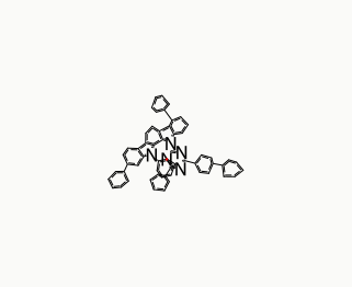 c1ccc(-c2ccc(-c3nc(-c4ccccc4)nc(-n4c5cccc(-c6ccccc6)c5c5ccc6c7ccc(-c8ccccc8)cc7n(-c7ccccc7)c6c54)n3)cc2)cc1